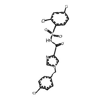 O=C(NS(=O)(=O)c1ccc(Cl)cc1Cl)c1cn(Cc2ccc(Cl)cc2)cn1